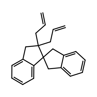 C=CCC1(CC=C)Cc2ccccc2C12Cc1ccccc1C2